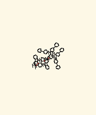 [C-]#[N+]c1ccc(-n2c3ccccc3c3ccccc32)c(-c2cc(C(F)(F)F)ccc2-n2c3ccccc3c3cc(-c4cc5c6c(c4)N(c4ccc(-c7ccccc7)cc4)c4ccc(-c7ccccc7)cc4B6c4cc(-c6ccccc6)ccc4N5c4ccc(-c5ccccc5)cc4)ccc32)c1